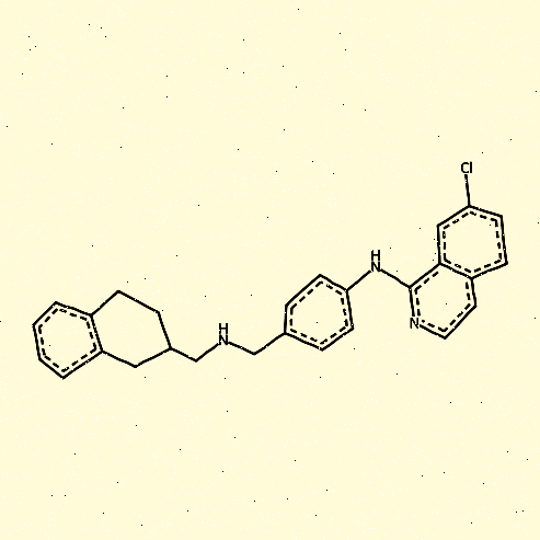 Clc1ccc2ccnc(Nc3ccc(CNCC4CCc5ccccc5C4)cc3)c2c1